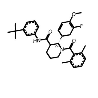 COC1=C(F)CC([C@H]2C(C(=O)Nc3cccc(C(C)(C)C)c3)CCCN2C(=O)c2c(C)cccc2C)C=C1